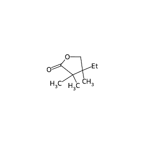 CCC1(C)COC(=O)C1(C)C